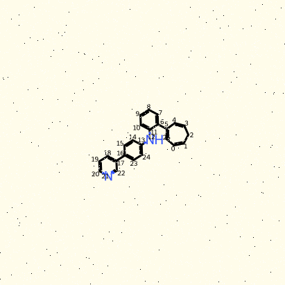 C1=CCC=CC(c2ccccc2Nc2ccc(-c3cccnc3)cc2)=C1